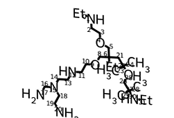 CCNCCOCC(CC)(COCCNCCN(CN)CCN)CC(C)(C)OCC(C)(C)NCC